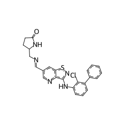 O=C1CCC(CN=Cc2cnc3c(Nc4cccc(-c5ccccc5)c4Cl)nsc3c2)N1